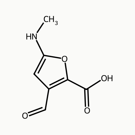 CNc1cc(C=O)c(C(=O)O)o1